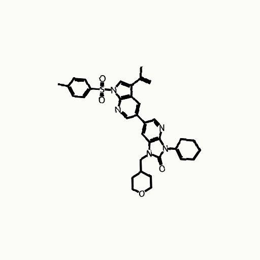 C=C(C)c1cn(S(=O)(=O)c2ccc(C)cc2)c2ncc(-c3cnc4c(c3)n(CC3CCOCC3)c(=O)n4C3=CCCCC3)cc12